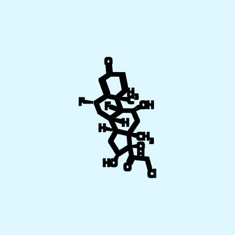 C[C@]12C=CC(=O)C=C1[C@@H](F)C[C@H]1[C@@H]3C[C@@H](O)[C@](O)(C(=O)CCl)[C@@]3(C)C[C@H](O)C12F